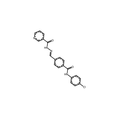 O=C(NN=Cc1ccc(C(=O)Nc2ccc(Cl)cc2)cc1)c1cccnc1